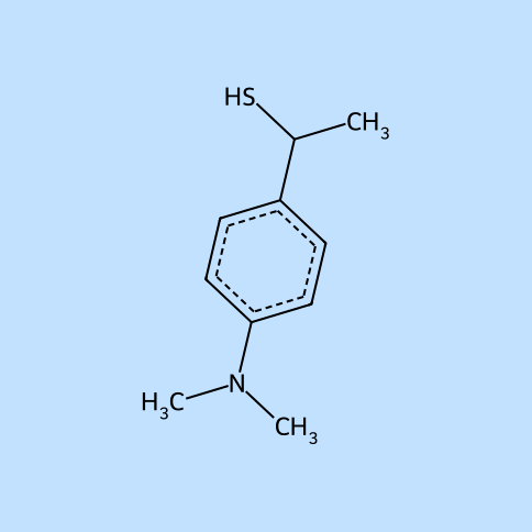 CC(S)c1ccc(N(C)C)cc1